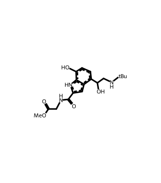 COC(=O)CNC(=O)c1cc2c(C(O)CNC(C)(C)C)ccc(O)c2[nH]1